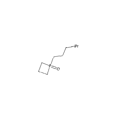 CC(C)CCCP1(=O)CCC1